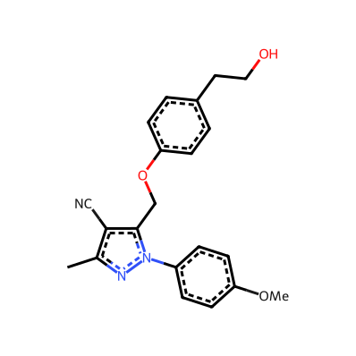 COc1ccc(-n2nc(C)c(C#N)c2COc2ccc(CCO)cc2)cc1